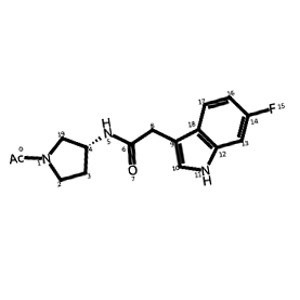 CC(=O)N1CC[C@@H](NC(=O)Cc2c[nH]c3cc(F)ccc23)C1